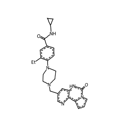 CCc1cc(C(=O)NC2CC2)ccc1N1CCN(Cc2cnc3c(c2)[nH]c(=O)n2cccc32)CC1